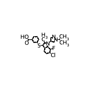 Cc1c(Sc2cccc(C(=O)O)c2)c2ccc(Cl)c(F)c2n1-c1cnn(C(C)C)c1